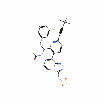 CC(C)(O)C#Cc1ccc(-c2ccc(Cl)n3c(NS(C)(=O)=O)nnc23)c(C(Cc2cc(F)cc(F)c2)NC(=O)O)n1